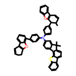 CC1C=Cc2c(oc3ccccc23)C1c1ccc(N(c2ccc(-c3cccc4c5c(oc34)CCC=C5)cc2)c2ccc3c(c2)C(C)(C)c2ccc4c(sc5ccccc54)c2-3)cc1